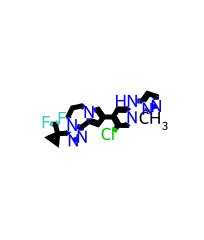 Cn1nccc1Nc1cc(-c2cc3n(c2)CCCn2c-3nnc2C2(C(F)F)CC2)c(Cl)cn1